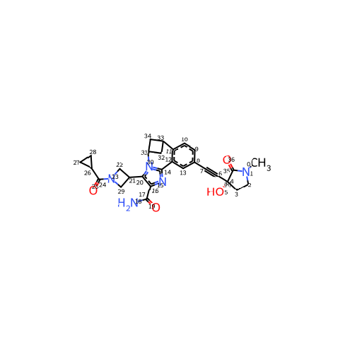 CN1CC[C@@](O)(C#Cc2ccc3c(c2)-c2nc(C(N)=O)c(C4CN(C(=O)C5CC5)C4)n2C2CC3C2)C1=O